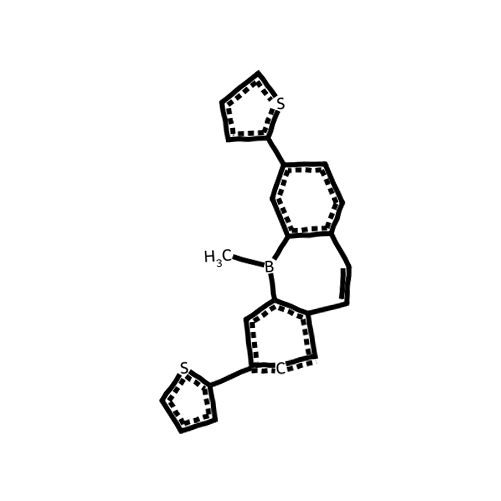 CB1c2cc(-c3cccs3)ccc2C=Cc2ccc(-c3cccs3)cc21